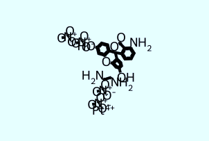 NCCN.Nc1cccc2c1C(=O)OC21c2ccc(O)cc2Oc2cc(O)ccc21.O=[N+]([O-])[O-].O=[N+]([O-])[O-].O=[N+]([O-])[O-].O=[N+]([O-])[O-].[Pt+4]